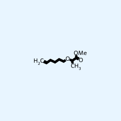 C=CCCCCOC(C)C(=O)OC